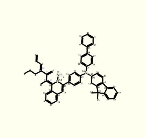 C=C/C=C(\CCC)C(=C)/C(C)=C1/c2ccccc2C=C(c2ccc(N(c3ccc(-c4ccccc4)cc3)[C@H]3C=CC4=C(C3)C(C)(C)c3ccccc34)cc2)N1N